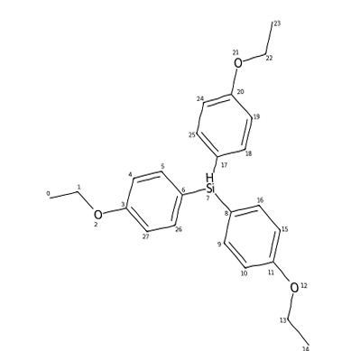 CCOc1ccc([SiH](c2ccc(OCC)cc2)c2ccc(OCC)cc2)cc1